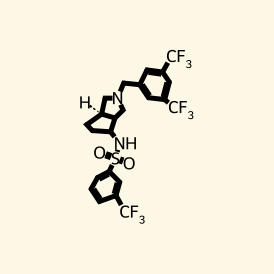 O=S(=O)(NC1CC[C@H]2CN(Cc3cc(C(F)(F)F)cc(C(F)(F)F)c3)CC12)c1cccc(C(F)(F)F)c1